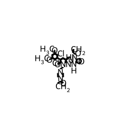 C=CC(=O)NC1COC[C@@H]1Nc1ncc2cc(-c3c(Cl)c(OC)cc(OC)c3Cl)c(=O)n(CCN3CCN(C(=O)C=C)CC3)c2n1